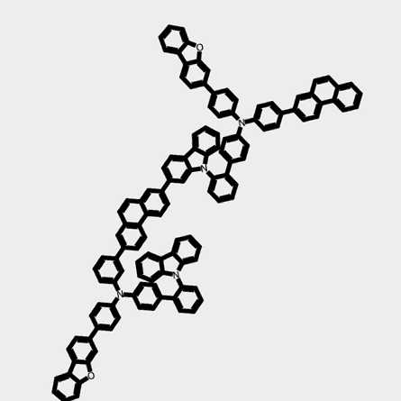 c1cc(-c2ccc3c(ccc4cc(-c5ccc6c7ccccc7n(-c7ccccc7-c7ccc(N(c8ccc(-c9ccc%10c(ccc%11ccccc%11%10)c9)cc8)c8ccc(-c9ccc%10c(c9)oc9ccccc9%10)cc8)cc7)c6c5)ccc43)c2)cc(N(c2ccc(-c3ccc4c(c3)oc3ccccc34)cc2)c2ccc(-c3ccccc3-n3c4ccccc4c4ccccc43)cc2)c1